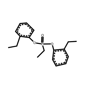 CCc1ccccc1OP(=O)(CC)Oc1ccccc1CC